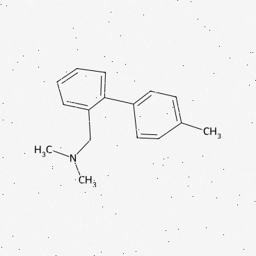 Cc1ccc(-c2ccccc2CN(C)C)cc1